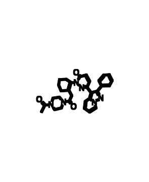 CC(=O)N1CCN(C(=O)CC2=C(n3nc(-c4c(-c5ccccc5)nn5ccccc45)ccc3=O)CCCC2)CC1